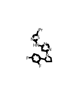 CC(C)c1cnc(Nc2cc(N3CCCC3c3ccc(F)cc3F)ncn2)s1